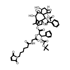 CC(=O)O[C@@]12CO[C@@H]1C[C@H](O)[C@@]1(C)C(=O)[C@H](O)C3=C(C)[C@@H](OC(=O)[C@H](OC(=O)CNC(=O)CCCCCN4C(=O)C=CC4=O)[C@@H](NC(=O)OC(C)(C)C)c4ccccc4)C[C@@](O)([C@@H](OC(=O)c4ccccc4)C12)C3(C)C